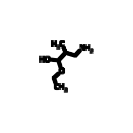 CCOC(O)C(C)CN